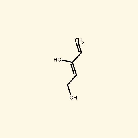 C=CC(O)=CCO